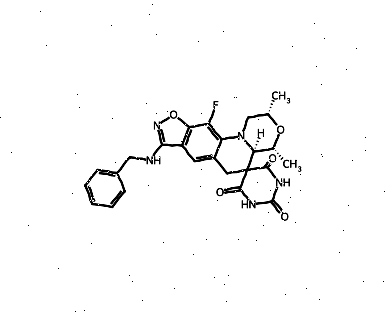 C[C@H]1CN2c3c(cc4c(NCc5ccccc5)noc4c3F)CC3(C(=O)NC(=O)NC3=O)[C@@H]2[C@@H](C)O1